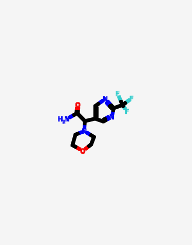 NC(=O)C(c1cnc(C(F)(F)F)nc1)N1CCOCC1